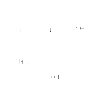 Cc1cc(O)c(O)c(Cl)n1